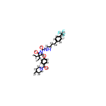 CCC1(CC)C(=O)N(C(=O)NCCCCc2ccc(C(F)(F)F)cc2)[C@H]1Oc1ccc(C(=O)N2CCC(C)CC2)cc1